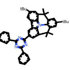 CC(C)(C)c1cc2c3c(c1)C(C)(C)c1cc(C(C)(C)C)cc4c5cc(-c6nc(-c7ccccc7)nc(-c7ccccc7)n6)cc(c5n-3c14)C2(C)C